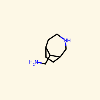 NCC1C2CCNCC1CC2